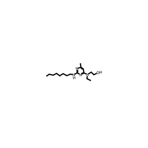 CCCCCCCCNc1nc(C)cc(N(CC)CCO)n1